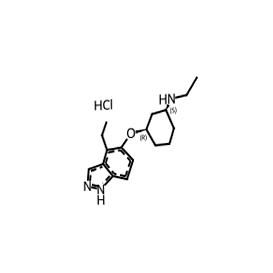 CCN[C@H]1CCC[C@@H](Oc2ccc3[nH]ncc3c2CC)C1.Cl